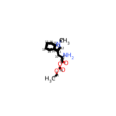 CCOC(=O)OC(=O)[C@H](N)Cc1cn(C)c2ccccc12